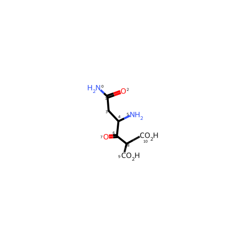 NC(=O)CC(N)C(=O)C(C(=O)O)C(=O)O